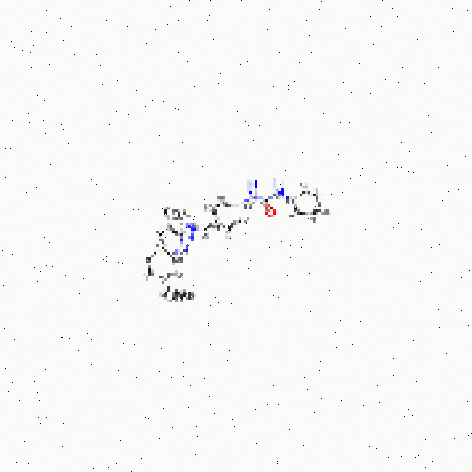 COc1ccc2cc(C(=O)O)c(NCc3ccc(NC(=O)Nc4ccccc4)cc3)nc2c1